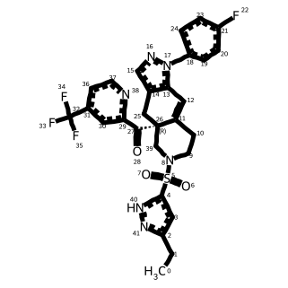 CCc1cc(S(=O)(=O)N2CCC3=Cc4c(cnn4-c4ccc(F)cc4)C[C@]3(C(=O)c3cc(C(F)(F)F)ccn3)C2)[nH]n1